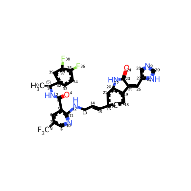 C[C@H](NC(=O)c1cc(C(F)(F)F)cnc1NCC=Cc1ccc2c(c1)NC(=O)C2=Cc1cnc[nH]1)c1ccc(F)c(F)c1